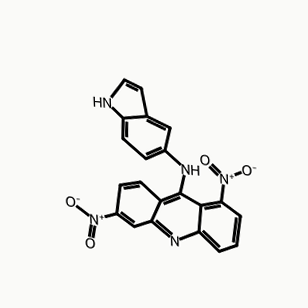 O=[N+]([O-])c1ccc2c(Nc3ccc4[nH]ccc4c3)c3c([N+](=O)[O-])cccc3nc2c1